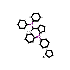 C1CCCC1.CC(C1CCCC1P(C1CCCCC1)C1CCCCC1)P(C1CCCCC1)C1CCCCC1.[Fe]